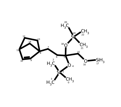 C[Si](C)(C)OC(CCC12C=CC(CC1)C2)(CO[SiH3])O[Si](C)(C)C